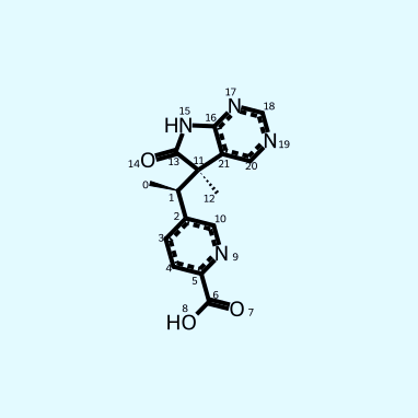 C[C@H](c1ccc(C(=O)O)nc1)[C@@]1(C)C(=O)Nc2ncncc21